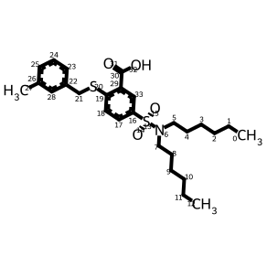 CCCCCCN(CCCCCC)S(=O)(=O)c1ccc(SCc2cccc(C)c2)c(C(=O)O)c1